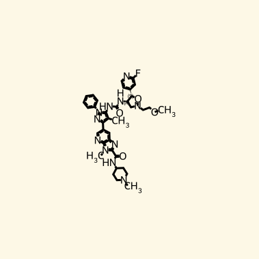 COCCN1C[C@@H](NC(=O)Nc2c(C)c(-c3cnc4c(c3)nc(C(=O)NC3CCN(C)CC3)n4C)nn2-c2ccccc2)[C@H](c2ccnc(F)c2)O1